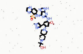 COc1cc(N2CCC3(CC2)CCN(C(C)(C)CO)CC3)c(-c2cnn(C)c2)cc1Nc1nc(Nc2ccc3nccnc3c2P(C)(C)=O)c2nc[nH]c2n1